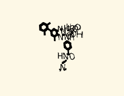 CS(=O)(=O)O.Cc1cccc(C)c1-c1cc(C)c2nc(Nc3ccc(C(=O)NCCN(C)C)cc3)nnc2c1.O.O